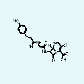 N=C(COc1ccc(O)cc1)NCC(=O)NC1C(=O)N2C(C(=O)O)=C(Cl)CS[C@@H]12